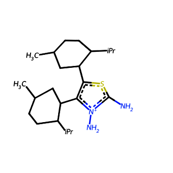 CC1CCC(C(C)C)C(c2sc(N)[n+](N)c2C2CC(C)CCC2C(C)C)C1